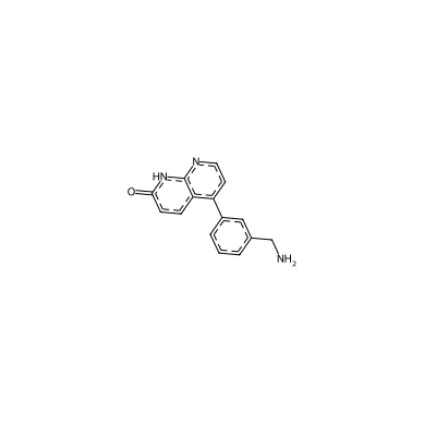 NCc1cccc(-c2ccnc3[nH]c(=O)ccc23)c1